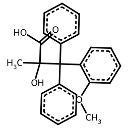 COc1ccccc1C(c1ccccc1)(c1ccccc1)C(C)(O)C(=O)O